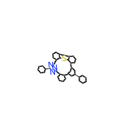 c1ccc(-c2cc3cc(c2)c2cccc4c5cccc(c6nc(-c7ccccc7)nc(n6)c6ccccc36)c5sc24)cc1